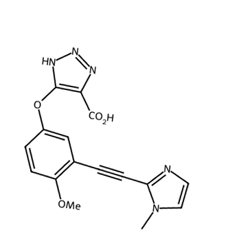 COc1ccc(Oc2[nH]nnc2C(=O)O)cc1C#Cc1nccn1C